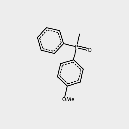 COc1ccc(P(C)(=O)c2ccccc2)cc1